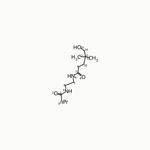 CCCC(=O)NCCNC(=O)CCC(C)(C)CO